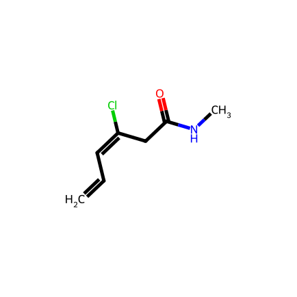 C=C/C=C(/Cl)CC(=O)NC